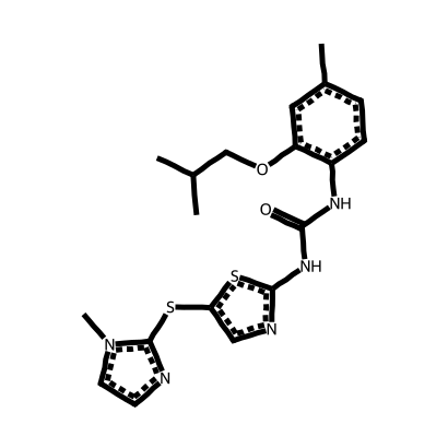 Cc1ccc(NC(=O)Nc2ncc(Sc3nccn3C)s2)c(OCC(C)C)c1